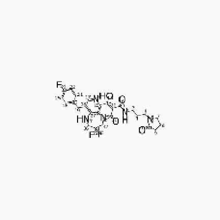 O=C(NCCCN1CCCC1=O)c1c(O)c2ncc(Cc3ccc(F)cc3)c3c2n(c1=O)CC(F)(F)CN3